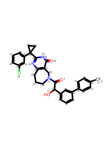 O=C(C(O)c1cccc(-c2ccc(C(F)(F)F)cc2)c1)N1CCCc2nc(C3(c4cccc(Cl)c4)CC3)[nH]c(=O)c2C1